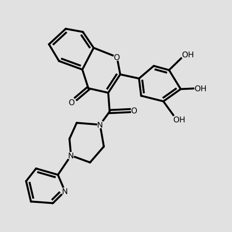 O=C(c1c(-c2cc(O)c(O)c(O)c2)oc2ccccc2c1=O)N1CCN(c2ccccn2)CC1